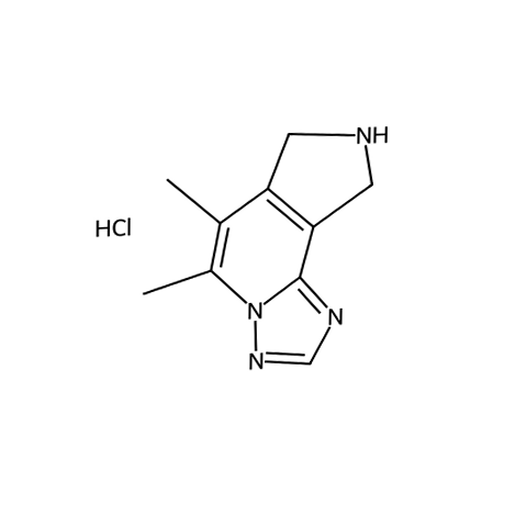 Cc1c2c(c3ncnn3c1C)CNC2.Cl